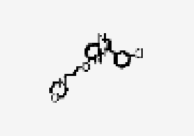 Clc1cccc(-c2cnc3ccc(OCCCN4CCOCC4)nn23)c1